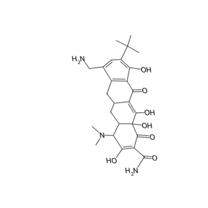 CN(C)C1C(O)=C(C(N)=O)C(=O)C2(O)C(O)=C3C(=O)c4c(O)c(C(C)(C)C)cc(CN)c4CC3CC12